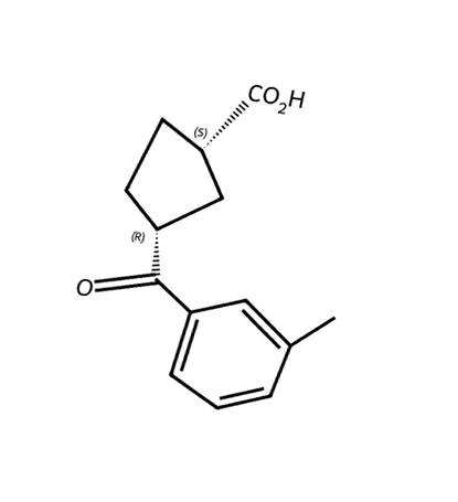 Cc1cccc(C(=O)[C@@H]2CC[C@H](C(=O)O)C2)c1